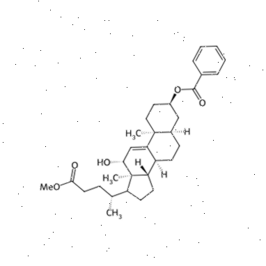 COC(=O)CC[C@@H](C)C1CC[C@H]2[C@@H]3CC[C@@H]4C[C@H](OC(=O)c5ccccc5)CC[C@]4(C)C3=C[C@@H](O)[C@]12C